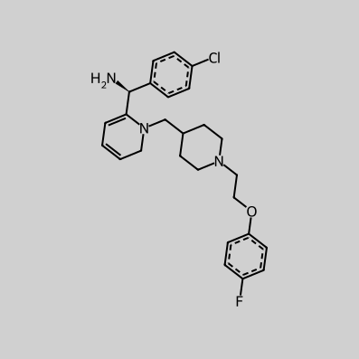 N[C@H](C1=CC=CCN1CC1CCN(CCOc2ccc(F)cc2)CC1)c1ccc(Cl)cc1